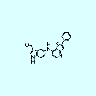 O=Cc1c[nH]c2ccc(Nc3ccnc4cc(-c5ccccc5)sc34)cc12